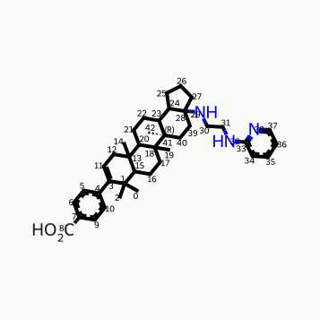 CC1(C)C(c2ccc(C(=O)O)cc2)=CCC2(C)C1CCC1(C)C2CCC2C3CCCC3(NCCNc3ccccn3)CC[C@]21C